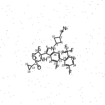 N#CC1CC(n2cc(C(NS(=O)(=O)C3CC3)C(F)F)c3cc(F)c(-c4cc(F)cnc4C(F)(F)F)cc32)C1